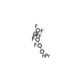 CCCc1ccc(-c2ccc(-c3cc(F)c(C(F)(F)Oc4cc(F)cc(F)c4)c(F)c3)c(F)c2)cc1